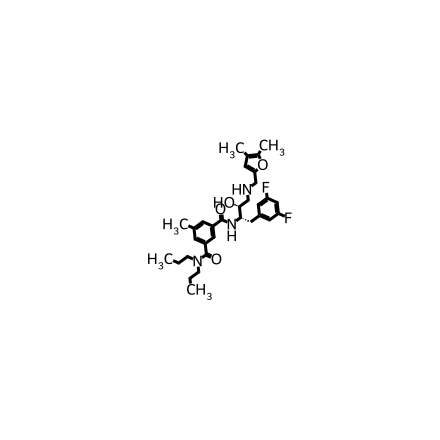 CCCN(CCC)C(=O)c1cc(C)cc(C(=O)N[C@@H](Cc2cc(F)cc(F)c2)[C@H](O)CNCc2cc(C)c(C)o2)c1